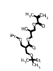 C=C(C)C(=O)OCC(O)COC(=O)C(COC(C)C)COC(C)(C)CC